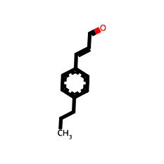 CCCc1ccc(C=CC=O)cc1